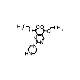 CCOC(=O)c1cnc(N2CCNCC2)nc1C(=O)OCC